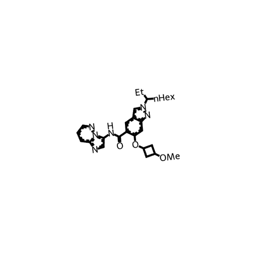 CCCCCCC(CC)n1cc2cc(C(=O)Nc3cnc4cccnn34)c(OC3CC(OC)C3)cc2n1